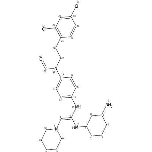 NC1CCCC(N/C(=C\N2CCCCC2)Nc2ccc(N(C=O)CCc3ccc(Cl)cc3Cl)cc2)C1